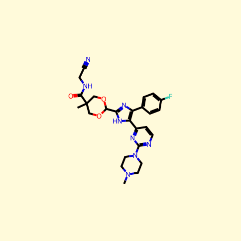 CN1CCN(c2nccc(-c3[nH]c(C4OCC(C)(C(=O)NCC#N)CO4)nc3-c3ccc(F)cc3)n2)CC1